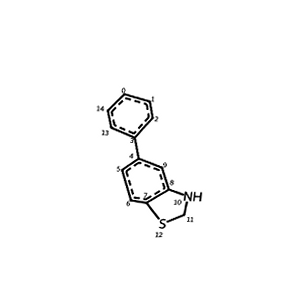 c1ccc(-c2ccc3c(c2)NCS3)cc1